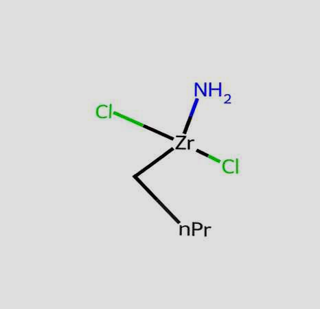 CCC[CH2][Zr]([NH2])([Cl])[Cl]